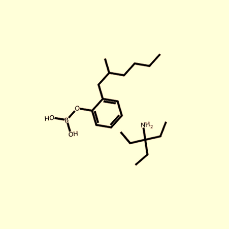 CCC(N)(CC)CC.CCCCC(C)Cc1ccccc1OB(O)O